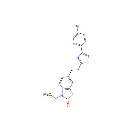 COCn1c(=O)sc2cc(CCc3nc(-c4ccc(C(C)=O)cn4)cs3)ccc21